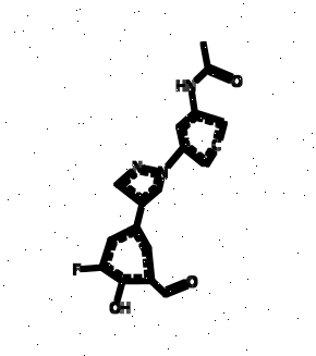 CC(=O)Nc1cccc(-n2cc(-c3cc(F)c(O)c(C=O)c3)cn2)c1